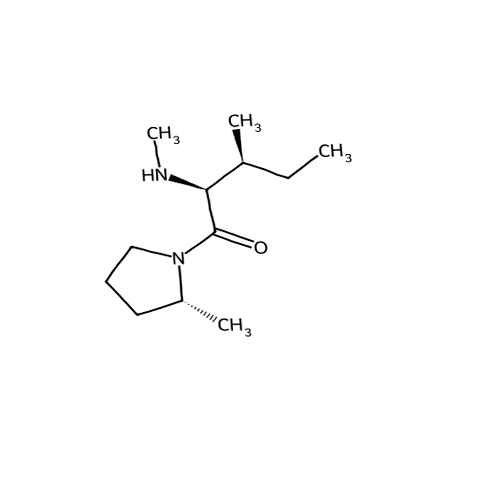 CC[C@H](C)[C@H](NC)C(=O)N1CCC[C@H]1C